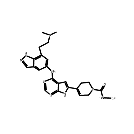 CN(C)CCc1cc(Nc2ncnc3[nH]c(C4=CCN(C(=O)NC(C)(C)C)CC4)cc23)cc2cn[nH]c12